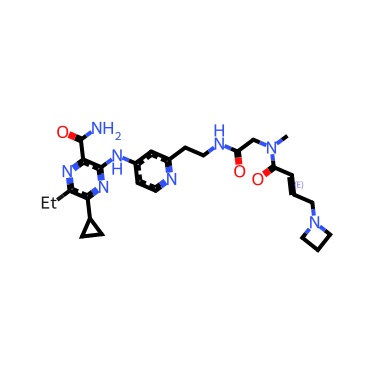 CCc1nc(C(N)=O)c(Nc2ccnc(CCNC(=O)CN(C)C(=O)/C=C/CN3CCC3)c2)nc1C1CC1